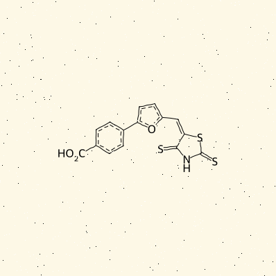 O=C(O)c1ccc(-c2ccc(C=C3SC(=S)NC3=S)o2)cc1